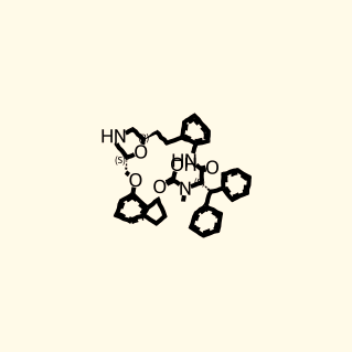 CN(C(=O)O)[C@H](C(=O)Nc1ccccc1CC[C@@H]1CNC[C@@H](COc2cccc3c2CCC3)O1)C(c1ccccc1)c1ccccc1